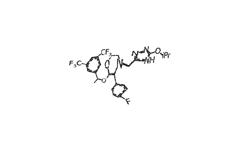 CC(C)Oc1nnc(CN2CCOC(OC(C)c3cc(C(F)(F)F)cc(C(F)(F)F)c3)C2c2ccc(F)cc2)[nH]1